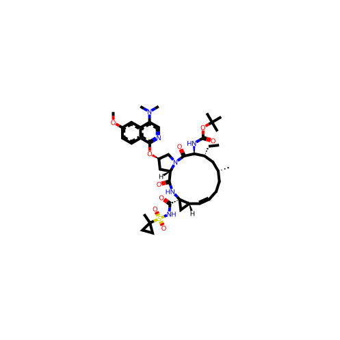 CC[C@@H]1C[C@H](C)CC/C=C\[C@@H]2C[C@@]2(C(=O)NS(=O)(=O)C2(C)CC2)NC(=O)[C@@H]2C[C@@H](Oc3ncc(N(C)C)c4cc(OC)ccc34)CN2C(=O)[C@H]1NC(=O)OC(C)(C)C